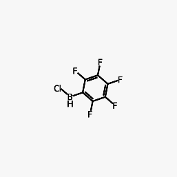 Fc1c(F)c(F)c(BCl)c(F)c1F